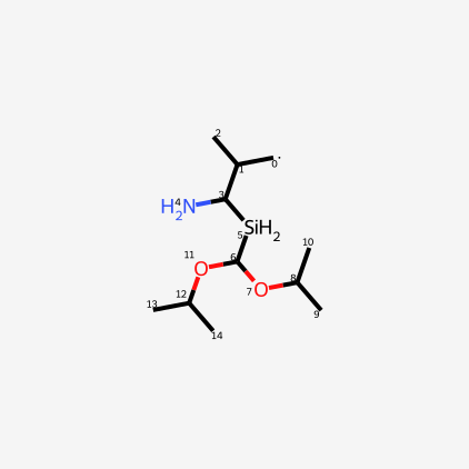 [CH2]C(C)C(N)[SiH2]C(OC(C)C)OC(C)C